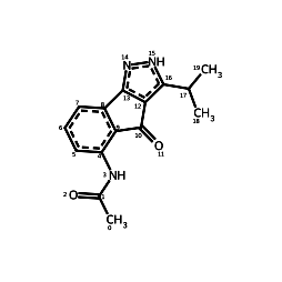 CC(=O)Nc1cccc2c1C(=O)c1c-2n[nH]c1C(C)C